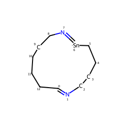 C1=N/CCC[CH2]/[Sn]=[N]/CCCCC/1